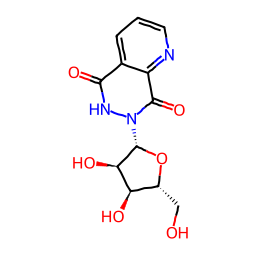 O=c1[nH]n([C@@H]2O[C@H](CO)[C@@H](O)[C@H]2O)c(=O)c2ncccc12